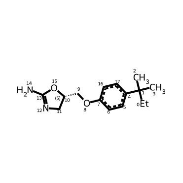 CCC(C)(C)c1ccc(OC[C@@H]2CN=C(N)O2)cc1